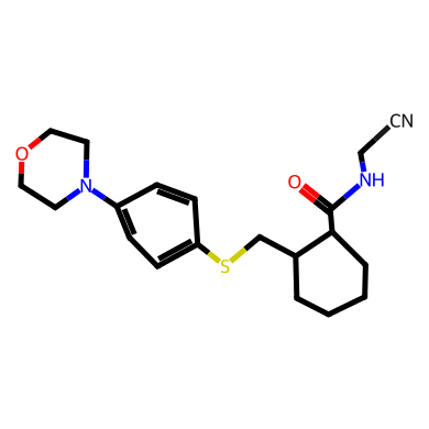 N#CCNC(=O)C1CCCCC1CSc1ccc(N2CCOCC2)cc1